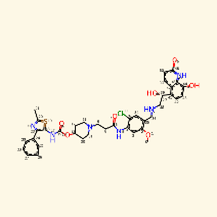 COc1cc(NC(=O)CCN2CCC(OC(=O)Nc3sc(C)nc3-c3ccccc3)CC2)c(Cl)cc1CNC[C@H](O)c1ccc(O)c2[nH]c(=O)ccc12